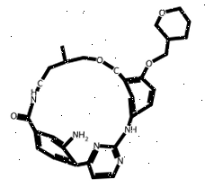 CC1CCNC(=O)c2ccc(c(N)c2)-c2ccnc(n2)Nc2ccc(OCC3CCCOC3)c(c2)COC1